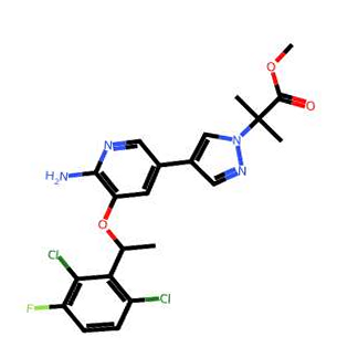 COC(=O)C(C)(C)n1cc(-c2cnc(N)c(OC(C)c3c(Cl)ccc(F)c3Cl)c2)cn1